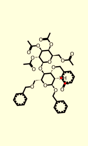 CC(=O)N[C@@H]1[C@@H](OCc2ccccc2)O[C@H](COCc2ccccc2)[C@@H](O[C@@H]2O[C@H](COC(C)=O)[C@H](OC(C)=O)[C@H](OC(C)=O)[C@H]2OC(C)=O)[C@@H]1OCc1ccccc1